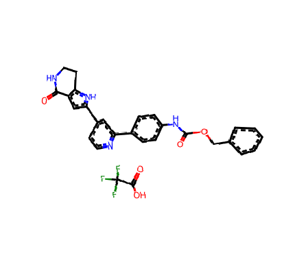 O=C(Nc1ccc(-c2cc(-c3cc4c([nH]3)CCNC4=O)ccn2)cc1)OCc1ccccc1.O=C(O)C(F)(F)F